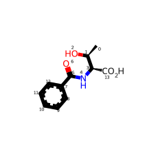 C[C@H](O)[C@H](NC(=O)c1ccccc1)C(=O)O